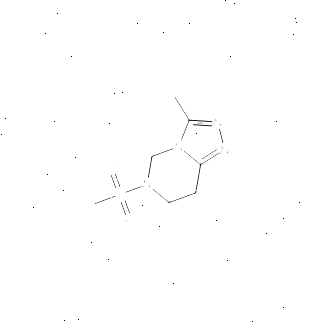 Cc1nnc2n1CN(S(C)(=O)=O)CC2